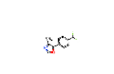 Cc1ncoc1-c1ccc(C(F)F)cc1